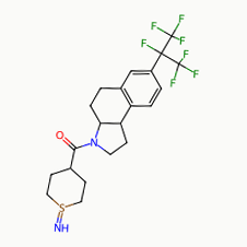 N=S1CCC(C(=O)N2CCC3c4ccc(C(F)(C(F)(F)F)C(F)(F)F)cc4CCC32)CC1